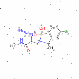 CNC(=O)C(CN1C(C)c2cc(Br)ccc2S1([O-])O)N=[N+]=N